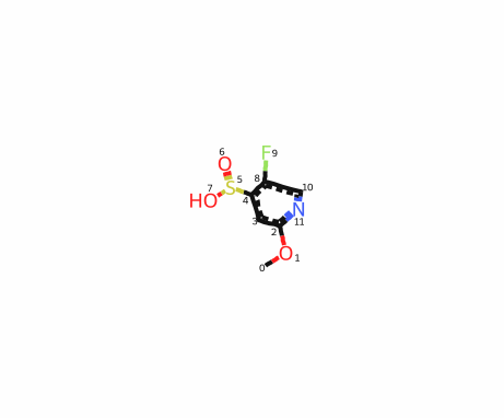 COc1cc(S(=O)O)c(F)cn1